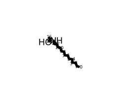 CCCCCCCCCCCCC=CNC(C)O